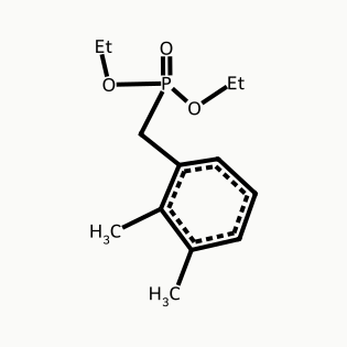 CCOP(=O)(Cc1cccc(C)c1C)OCC